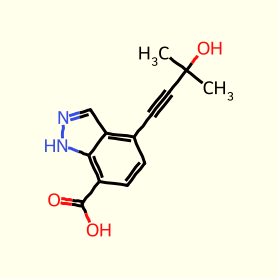 CC(C)(O)C#Cc1ccc(C(=O)O)c2[nH]ncc12